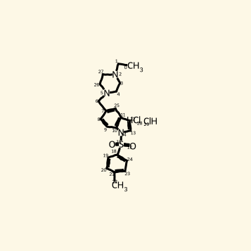 CCN1CCN(Cc2ccc3c(ccn3S(=O)(=O)c3ccc(C)cc3)c2)CC1.Cl.Cl